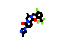 Cc1cn(-c2ccc3n(c2=O)C[C@@H](C)N(Cc2cc(C(F)(F)F)ccc2F)C3=O)cn1